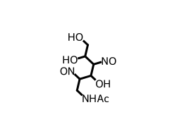 CC(=O)NCC(N=O)C(O)C(N=O)C(O)CO